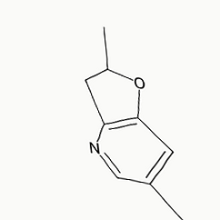 Cc1cnc2c(c1)OC(C)C2